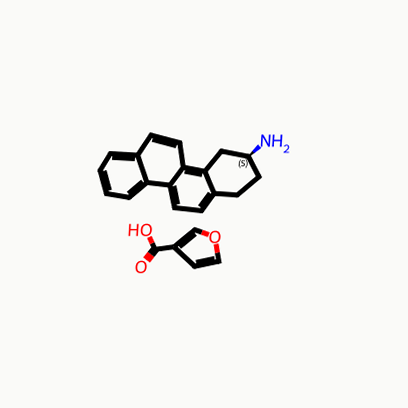 N[C@H]1CCc2ccc3c(ccc4ccccc43)c2C1.O=C(O)c1ccoc1